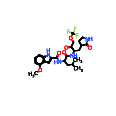 COc1cccc2[nH]c(C(=O)NC(CC(C)C)C(=O)NC(CC3CCNC3=O)C(=O)COC(F)(F)F)cc12